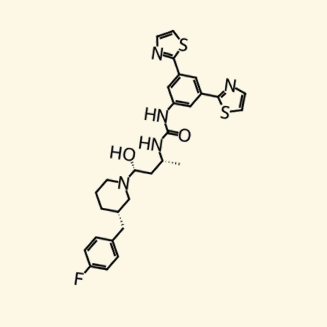 C[C@H](C[C@@H](O)N1CCC[C@@H](Cc2ccc(F)cc2)C1)NC(=O)Nc1cc(-c2nccs2)cc(-c2nccs2)c1